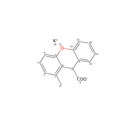 Cc1cccc2c1C(C(=O)[O-])c1ccccc1O2.[K+]